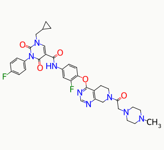 CN1CCN(CC(=O)N2CCc3c(ncnc3Oc3ccc(NC(=O)c4cn(CC5CC5)c(=O)n(-c5ccc(F)cc5)c4=O)cc3F)C2)CC1